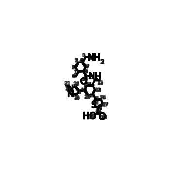 Cc1ccc(CN)cc1C(=O)NC(C)c1cc(-c2cnn(C)c2)cc(-c2ccc(C(=O)O)s2)c1